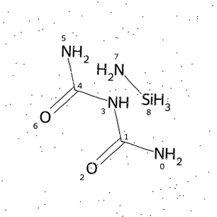 NC(=O)NC(N)=O.N[SiH3]